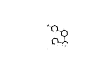 CCC(O)(CC)c1ccc(-c2cc(-c3c[nH]nc3-c3cccc(C)n3)ccc2F)nc1